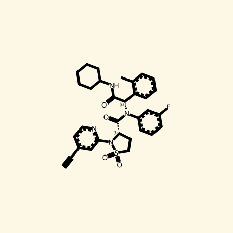 C#Cc1ccnc(N2[C@H](C(=O)N(c3cccc(F)c3)[C@H](C(=O)NC3CCCCC3)c3ccccc3C)CCS2(=O)=O)c1